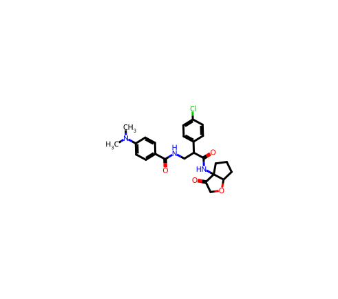 CN(C)c1ccc(C(=O)NCC(C(=O)NC23CCCC2OCC3=O)c2ccc(Cl)cc2)cc1